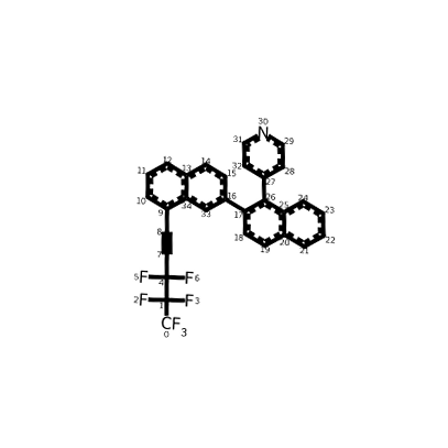 FC(F)(F)C(F)(F)C(F)(F)C#Cc1cccc2ccc(-c3ccc4ccccc4c3-c3ccncc3)cc12